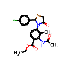 CCOC(=O)c1ccc(N2C(=O)CSC2c2ccc(F)cc2)c(C)c1NC(C)=O